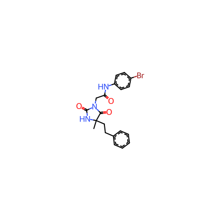 CC1(CCc2ccccc2)NC(=O)N(CC(=O)Nc2ccc(Br)cc2)C1=O